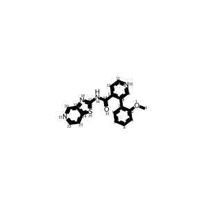 COc1ccccc1-c1cnccc1C(=O)Nc1nc2cnccc2s1